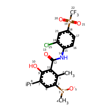 Cc1c([S+](C)[O-])cc(C(C)C)c(O)c1C(=O)Nc1ccc(S(=O)(=O)C(F)(F)F)cc1Cl